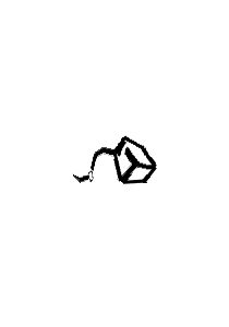 C=C1C2CC=C(COC)C1C2